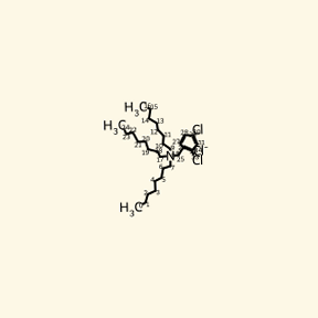 CCCCCCCC[N+](CCCCCCCC)(CCCCCCCC)Cc1ccc(Cl)cc1Cl.[Cl-]